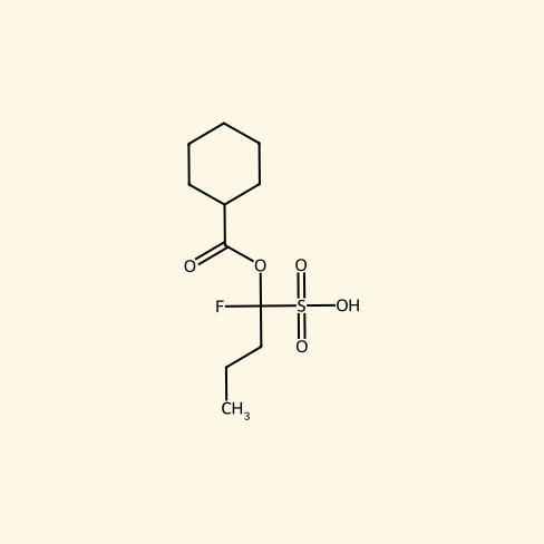 CCCC(F)(OC(=O)C1CCCCC1)S(=O)(=O)O